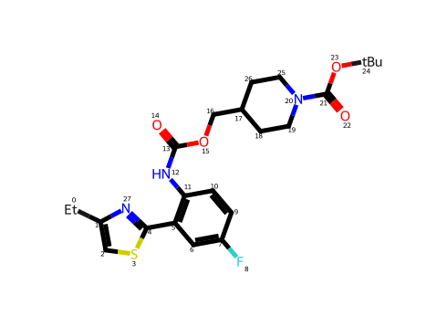 CCc1csc(-c2cc(F)ccc2NC(=O)OCC2CCN(C(=O)OC(C)(C)C)CC2)n1